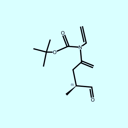 C=CN(C(=C)C[C@H](C)C=O)C(=O)OC(C)(C)C